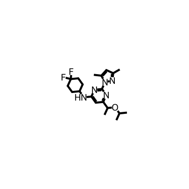 Cc1cc(C)n(-c2nc(NC3CCC(F)(F)CC3)cc(C(C)OC(C)C)n2)n1